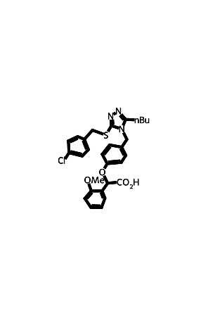 CCCCc1nnc(SCc2ccc(Cl)cc2)n1Cc1ccc(OC(C(=O)O)c2ccccc2OC)cc1